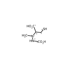 CN(NC(=O)O)C(CS)C(=O)O